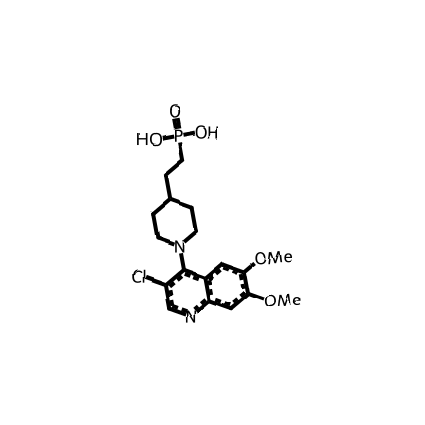 COc1cc2ncc(Cl)c(N3CCC(CCP(=O)(O)O)CC3)c2cc1OC